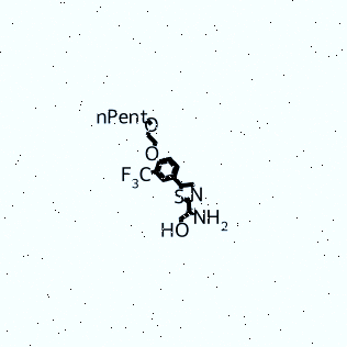 CCCCCOCCOc1ccc(C2CN=C([C@@H](N)CO)S2)cc1C(F)(F)F